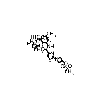 CC(C)CC(NC(=O)c1csc(N2CC(OS(C)(=O)=O)C2)n1)C(O[SiH](C)C)C(C)(C)C